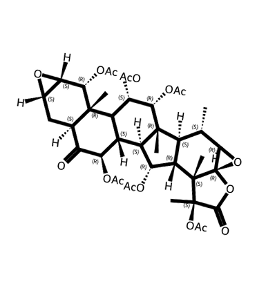 CC(=O)O[C@@H]1[C@H]2[C@H]3C([C@H](OC(C)=O)[C@H](OC(C)=O)[C@]2(C)[C@H]2[C@H](C)[C@H]4O[C@]45OC(=O)[C@@](C)(OC(C)=O)[C@]5(C)[C@H]12)[C@]1(C)[C@H](C[C@@H]2O[C@@H]2[C@@H]1OC(C)=O)C(=O)[C@@H]3OC(C)=O